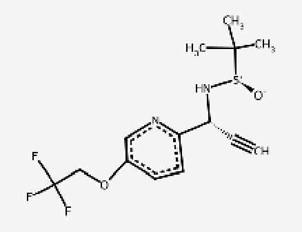 C#C[C@@H](N[S@+]([O-])C(C)(C)C)c1ccc(OCC(F)(F)F)cn1